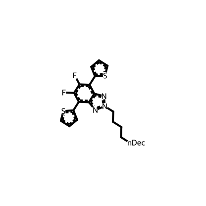 CCCCCCCCCCCCCCn1nc2c(-c3cccs3)c(F)c(F)c(-c3cccs3)c2n1